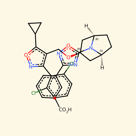 O=C(O)c1cccc(-c2noc(N3[C@@H]4CC[C@H]3C[C@@H](OCc3c(-c5c(Cl)cccc5Cl)noc3C3CC3)C4)n2)c1